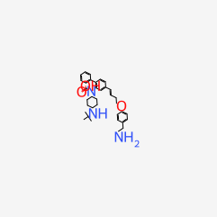 CC(C)(C)N[C@H]1CC[C@H](N(C(=O)O)c2cc(C=CCCOc3ccc(CCN)cc3)ccc2-c2ccccc2)CC1